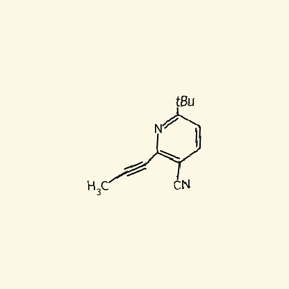 CC#Cc1nc(C(C)(C)C)ccc1C#N